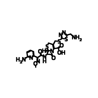 CON=C(C(=O)NC1C(=O)N2C(C(=O)O)=C(CSc3nnc(CN)s3)CS[C@@H]12)c1cccc(N)n1